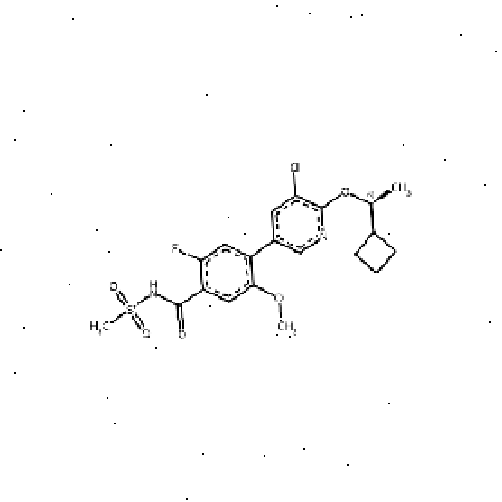 COc1cc(C(=O)NS(C)(=O)=O)c(F)cc1-c1cnc(O[C@@H](C)C2CCC2)c(Cl)c1